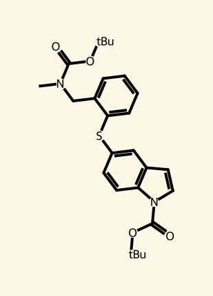 CN(Cc1ccccc1Sc1ccc2c(ccn2C(=O)OC(C)(C)C)c1)C(=O)OC(C)(C)C